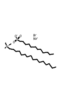 CCCCCCCCCCCCCCCC[N+](C)(C)C.CCCCCCCCCCCCS(=O)(=O)[O-].[Br-].[Na+]